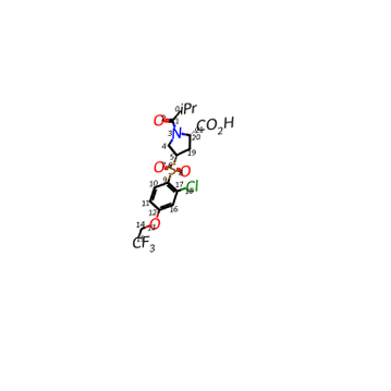 CC(C)C(=O)N1C[C@H](S(=O)(=O)c2ccc(OCC(F)(F)F)cc2Cl)C[C@H]1C(=O)O